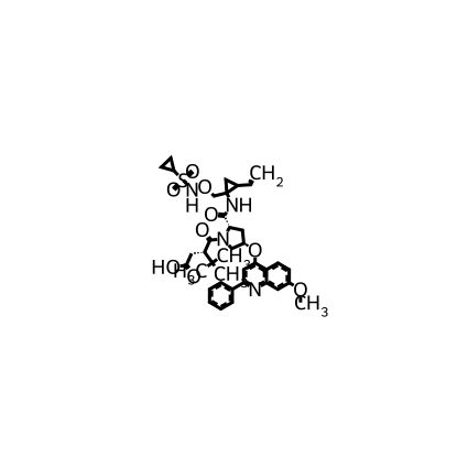 C=CC1CC1(CONS(=O)(=O)C1CC1)NC(=O)[C@@H]1C[C@@H](Oc2cc(-c3ccccc3)nc3cc(OC)ccc23)CN1C(=O)[C@@H](CC(=O)O)C(C)(C)C